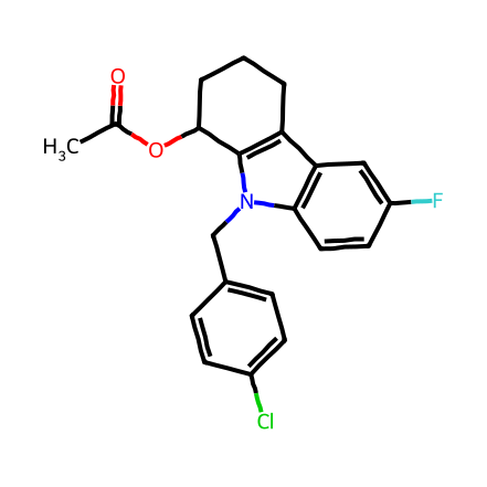 CC(=O)OC1CCCc2c1n(Cc1ccc(Cl)cc1)c1ccc(F)cc21